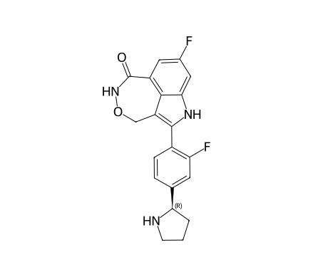 O=C1NOCc2c(-c3ccc([C@H]4CCCN4)cc3F)[nH]c3cc(F)cc1c23